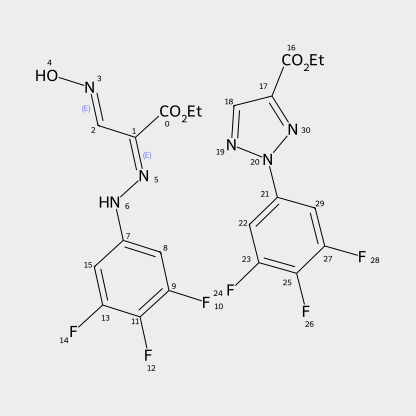 CCOC(=O)C(/C=N/O)=N/Nc1cc(F)c(F)c(F)c1.CCOC(=O)c1cnn(-c2cc(F)c(F)c(F)c2)n1